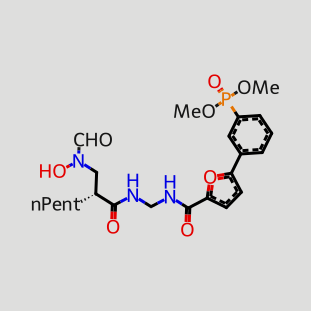 CCCCC[C@H](CN(O)C=O)C(=O)NCNC(=O)c1ccc(-c2cccc(P(=O)(OC)OC)c2)o1